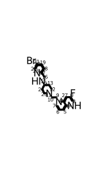 FC1=CNC2=CC=CN(CCN3CCC(NCc4ccc(Br)cn4)CC3)C2=C1